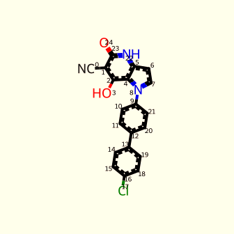 N#Cc1c(O)c2c(ccn2-c2ccc(-c3ccc(Cl)cc3)cc2)[nH]c1=O